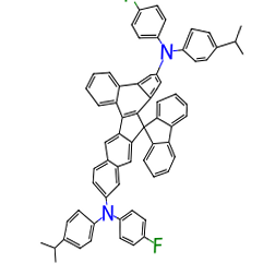 CC(C)c1ccc(N(c2ccc(F)cc2)c2ccc3cc4c(cc3c2)C2(c3ccccc3-c3ccccc32)c2c-4c3ccccc3c3cc(N(c4ccc(F)cc4)c4ccc(C(C)C)cc4)ccc23)cc1